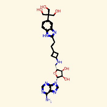 Nc1ncnc2c1ncn2[C@@H]1O[C@H](CNC2CC(CCc3nc4cc(C(CO)(CO)CO)ccc4[nH]3)C2)[C@@H](O)[C@H]1O